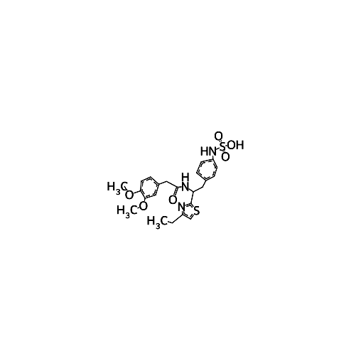 CCc1csc(C(Cc2ccc(NS(=O)(=O)O)cc2)NC(=O)Cc2ccc(OC)c(OC)c2)n1